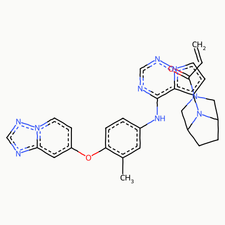 C=CC(=O)N1CC2CCC(C1)N2c1ccn2ncnc(Nc3ccc(Oc4ccn5ncnc5c4)c(C)c3)c12